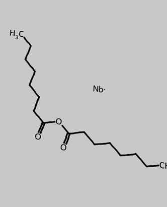 CCCCCCCC(=O)OC(=O)CCCCCCC.[Nb]